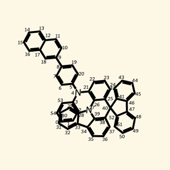 c1ccc(N(c2ccc(-c3ccc4ccccc4c3)cc2)c2cccc3c2-n2c4ccccc4c4cccc(c42)C32c3ccccc3-c3ccccc32)cc1